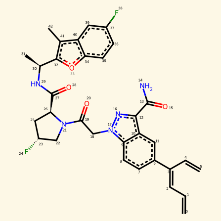 C=C/C=C(\C=C)c1ccc2c(c1)c(C(N)=O)nn2CC(=O)N1C[C@H](F)C[C@H]1C(=O)N[C@@H](C)c1oc2ccc(F)cc2c1C